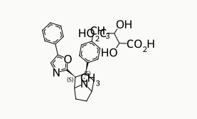 Cc1ccc([C@H]2CC3CCC([C@H]2c2ncc(-c4ccccc4)o2)N3C)cc1.O=C(O)C(O)C(O)C(=O)O